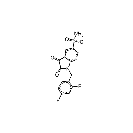 NS(=O)(=O)c1ccc2c(c1)C(=O)C(=O)N2Cc1ccc(F)cc1F